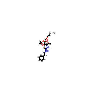 CCCCCCCCCCCCOC[C@@]12O[C@@H](C)C(NC(=S)NCCc3ccccc3)[C@H]1OC(C)(C)O2